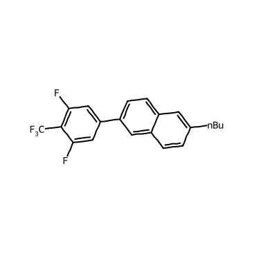 CCCCc1ccc2cc(-c3cc(F)c(C(F)(F)F)c(F)c3)ccc2c1